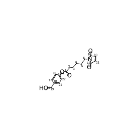 O=C(CCCCCN1C(=O)C=CC1=O)Oc1ccc(CO)cc1